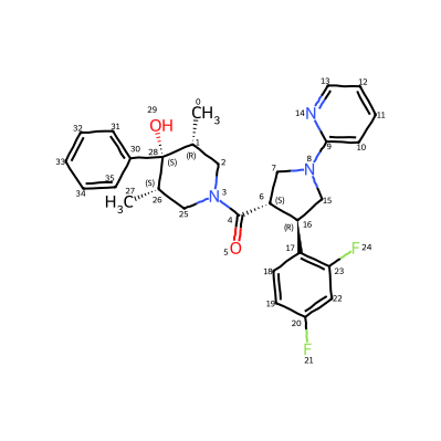 C[C@@H]1CN(C(=O)[C@@H]2CN(c3ccccn3)C[C@H]2c2ccc(F)cc2F)C[C@H](C)[C@@]1(O)c1ccccc1